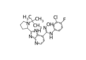 CC(C)(C)N1CCCC1c1nc2nccc(C(=NO)Nc3ccc(F)c(Cl)c3)c2[nH]1